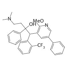 COc1ncc(-c2ccccc2)cc1C(c1ccccc1C(F)(F)F)C(O)(CCN(C)C)c1ccccc1